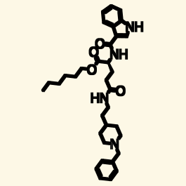 CCCCCCOC(=O)[C@H](CCC(=O)NCCC1CCN(Cc2ccccc2)CC1)NC(=O)c1c[nH]c2ccccc12